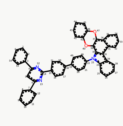 c1ccc(-c2cc(-c3ccccc3)nc(-c3ccc(-c4ccc(-n5c6ccccc6c6c7ccccc7c7c(c65)Oc5ccccc5O7)cc4)cc3)n2)cc1